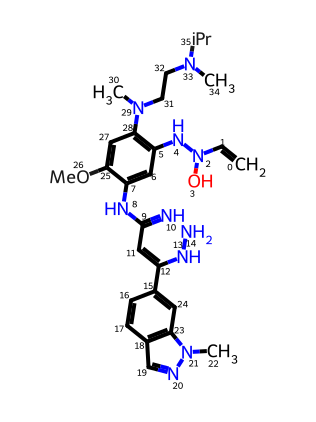 C=CN(O)Nc1cc(NC(=N)/C=C(\NN)c2ccc3cnn(C)c3c2)c(OC)cc1N(C)CCN(C)C(C)C